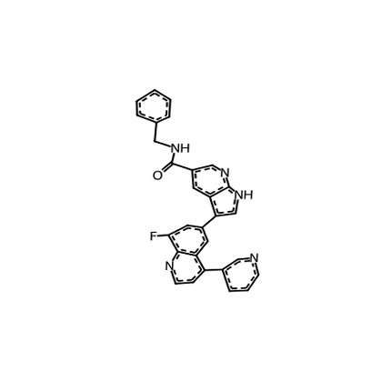 O=C(NCc1ccccc1)c1cnc2[nH]cc(-c3cc(F)c4nccc(-c5cccnc5)c4c3)c2c1